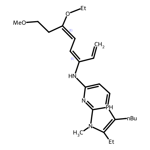 C=C/C(=C\C=C(/CCOC)OCC)NC1=CC=[PH]2C(=N1)N(C)C(CC)=C2CCCC